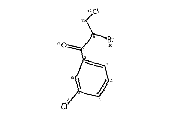 O=C(c1cccc(Cl)c1)C(Br)CCl